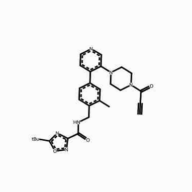 C#CC(=O)N1CCN(c2cnccc2-c2ccc(CNC(=O)c3noc(C(C)(C)C)n3)c(C)c2)CC1